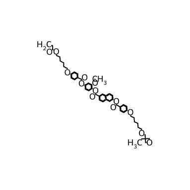 C=CC(=O)OCCCCCCOc1ccc(C(=O)Oc2ccc(OC(=O)c3ccc4cc(OC(=O)c5ccc(OCCCCCCOCC6(CC)COC6)cc5)ccc4c3)c(OC)c2)cc1